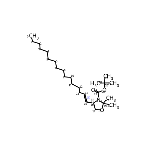 CCCCCCCCCCCCCC/C=C/[C@@H]1COC(C)(C)N1C(=O)OC(C)(C)C